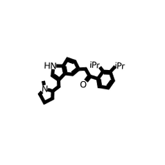 CC(C)c1cccc(C(=O)Cc2ccc3[nH]cc(CC4CCCN4C)c3c2)c1C(C)C